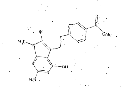 COC(=O)c1ccc(CCc2c(Br)n(C)c3nc(N)nc(O)c23)cc1